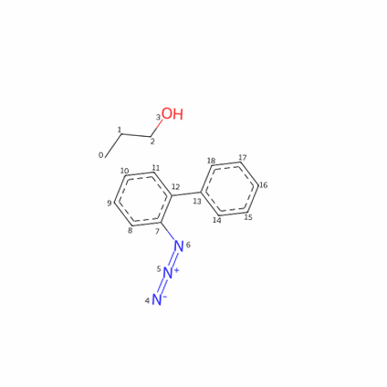 CCCO.[N-]=[N+]=Nc1ccccc1-c1ccccc1